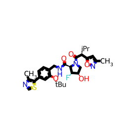 Cc1cc([C@H](C(=O)N2C[C@H](O)[C@H](F)[C@H]2C(=O)NCc2ccc(-c3scnc3C)cc2OC(C)(C)C)C(C)C)on1